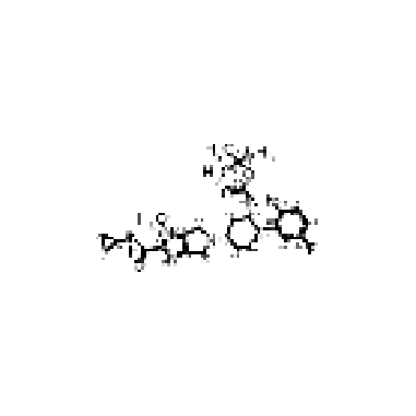 Cn1c(C(=O)NC2CC2)nc2c1CN([C@H]1CO[C@H](c3cc(F)ccc3F)[C@@H](NC(=O)OC(C)(C)C)C1)C2